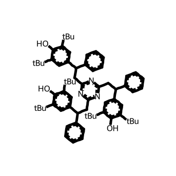 CC(C)(C)c1cc(C(Cc2nc(CC(c3ccccc3)c3cc(C(C)(C)C)c(O)c(C(C)(C)C)c3)nc(CC(c3ccccc3)c3cc(C(C)(C)C)c(O)c(C(C)(C)C)c3)n2)c2ccccc2)cc(C(C)(C)C)c1O